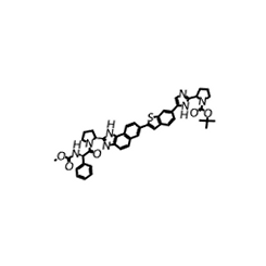 COC(=O)N[C@@H](C(=O)N1CCC[C@H]1c1nc2ccc3cc(-c4cc5ccc(-c6cnc(C7CCCN7C(=O)OC(C)(C)C)[nH]6)cc5s4)ccc3c2[nH]1)c1ccccc1